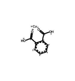 O=C(O)c1cccnc1C(=O)O.[Cu]